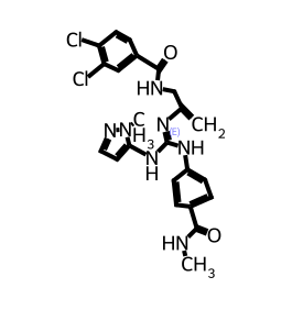 C=C(CNC(=O)c1ccc(Cl)c(Cl)c1)/N=C(\Nc1ccc(C(=O)NC)cc1)Nc1ccnn1C